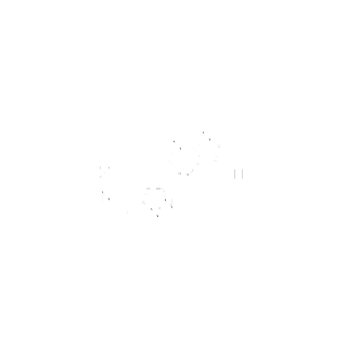 Cc1c[nH]c2ncc(-c3cc4n(n3)CCC43CCN(C=O)C3)cc12